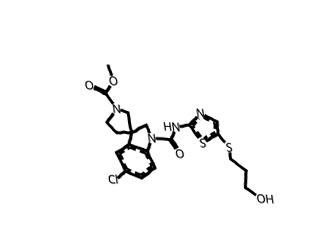 COC(=O)N1CCC2(C1)CN(C(=O)Nc1ncc(SCCCO)s1)c1ccc(Cl)cc12